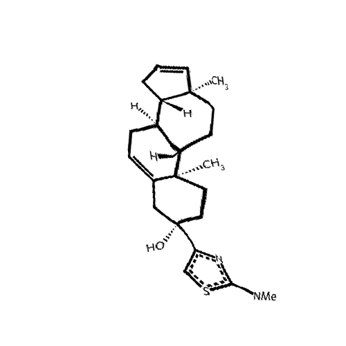 CNc1nc([C@]2(O)CC[C@@]3(C)C(=CC[C@H]4[C@@H]5CC=C[C@@]5(C)CC[C@@H]43)C2)cs1